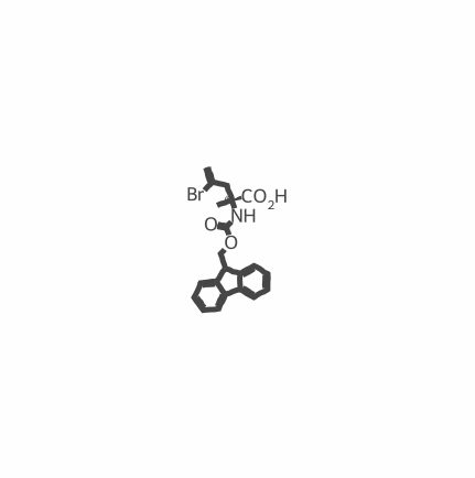 C=C(Br)C[C@@](C)(NC(=O)OCC1c2ccccc2-c2ccccc21)C(=O)O